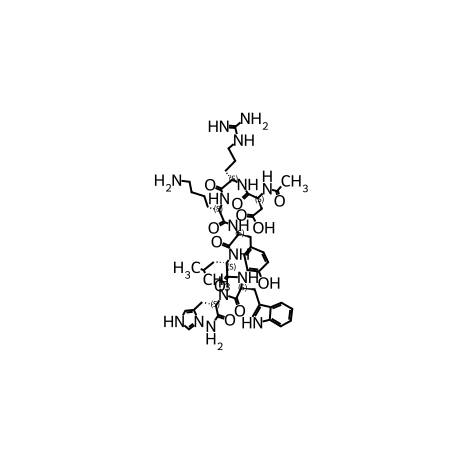 CC(=O)N[C@@H](CC(=O)O)C(=O)N[C@@H](CCCNC(=N)N)C(=O)N[C@@H](CCCCN)C(=O)N[C@@H](Cc1ccc(O)cc1)C(=O)N[C@@H](CC(C)C)C(=O)N[C@@H](Cc1c[nH]c2ccccc12)C(=O)N[C@@H](Cc1c[nH]cn1)C(N)=O